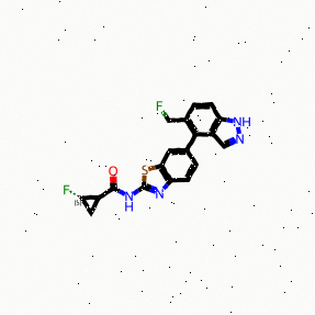 O=C(Nc1nc2ccc(-c3c(CF)ccc4[nH]ncc34)cc2s1)C1C[C@@H]1F